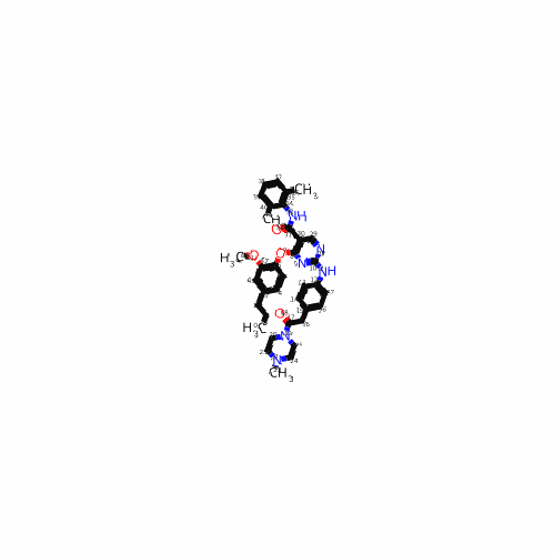 CCCc1ccc(Oc2nc(Nc3ccc(CC(=O)N4CCN(C)CC4)cc3)ncc2C(=O)Nc2c(C)cccc2C)c(OC)c1